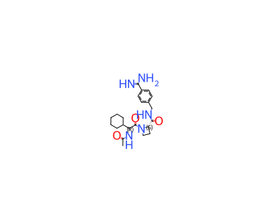 CC(=O)N[C@@H](C(=O)N1CC[C@H]1C(=O)NCc1ccc(C(=N)N)cc1)C1CCCCC1